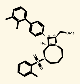 COC[C@@H]1[C@@H](c2ccc(-c3cccc(C)c3C)cc2)[C@@H]2CN(S(=O)(=O)c3ccccc3C)CCCCN12